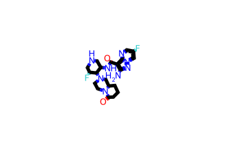 Nc1nn2cc(F)cnc2c1C(=O)NC1CNCC(F)C1N1CCN2C(=O)CCCC2C1